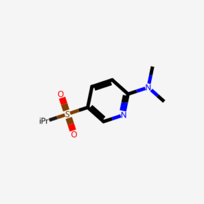 CC(C)S(=O)(=O)c1ccc(N(C)C)nc1